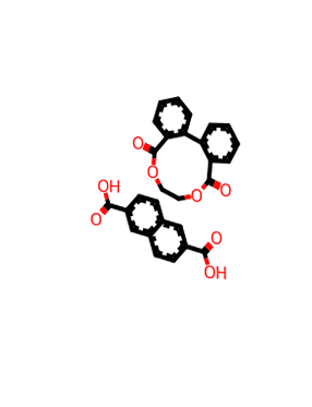 O=C(O)c1ccc2cc(C(=O)O)ccc2c1.O=C1OCCOC(=O)c2ccccc2-c2ccccc21